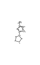 CC(C)c1cc(C2CCCC2)on1